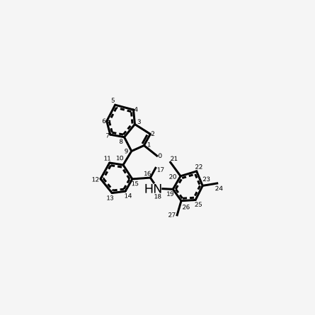 CC1=Cc2ccccc2C1c1ccccc1C(C)Nc1c(C)cc(C)cc1C